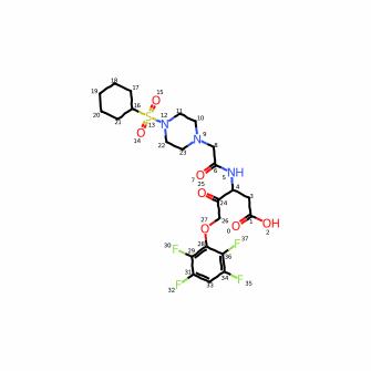 O=C(O)CC(NC(=O)CN1CCN(S(=O)(=O)C2CCCCC2)CC1)C(=O)COc1c(F)c(F)cc(F)c1F